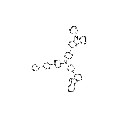 c1ccc(-c2ccc(-c3ccc(N(c4ccc(-c5ccc6c(c5)c5ccccc5n6-c5ccccc5)cc4)c4ccc(-c5cccc6c5oc5ccccc56)cc4)cc3)cc2)cc1